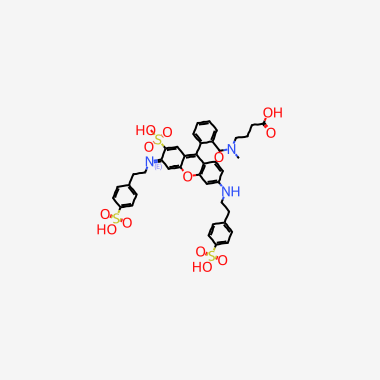 CN(CCCC(=O)O)C(=O)c1ccccc1-c1c2cc(S(=O)(=O)O)/c(=N/CCc3ccc(S(=O)(=O)O)cc3)cc-2oc2cc(NCCc3ccc(S(=O)(=O)O)cc3)ccc12